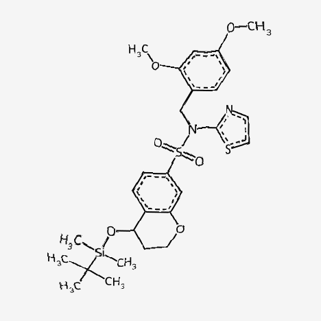 COc1ccc(CN(c2nccs2)S(=O)(=O)c2ccc3c(c2)OCCC3O[Si](C)(C)C(C)(C)C)c(OC)c1